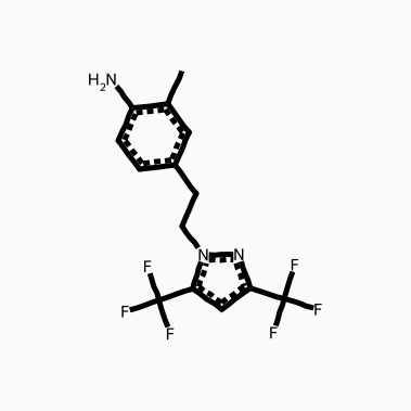 Cc1cc(CCn2nc(C(F)(F)F)cc2C(F)(F)F)ccc1N